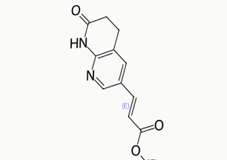 CCCC(C)OC(=O)/C=C/c1cnc2c(c1)CCC(=O)N2